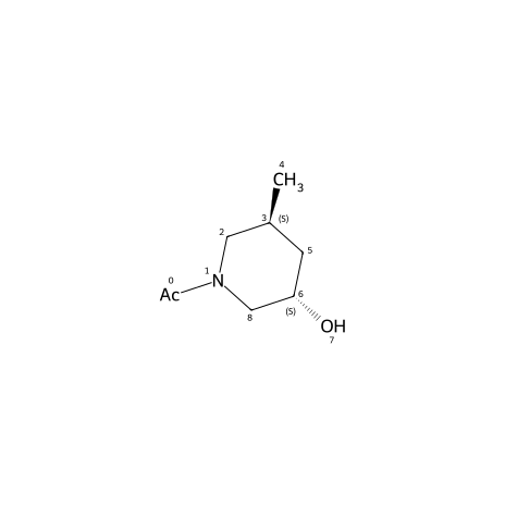 CC(=O)N1C[C@@H](C)C[C@H](O)C1